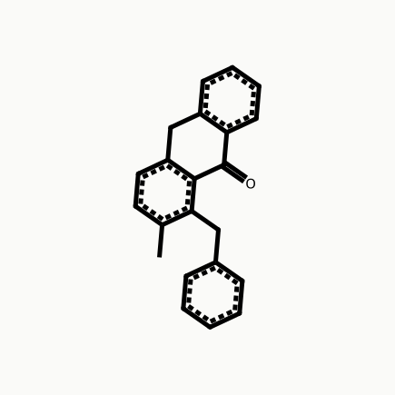 Cc1ccc2c(c1Cc1ccccc1)C(=O)c1ccccc1C2